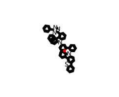 c1ccc(-c2nnc(-c3cccc4c3c3ccccc3n4-c3cccc(-c4ccccc4-n4c5ccccc5c5c6sc7ccccc7c6ccc54)c3)n2-c2ccccc2)cc1